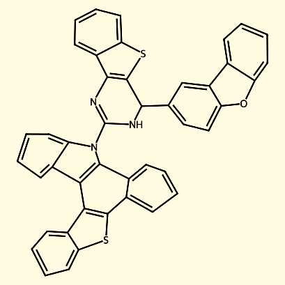 c1ccc2c(c1)oc1ccc(C3NC(n4c5ccccc5c5c6c7ccccc7sc6c6ccccc6c54)=Nc4c3sc3ccccc43)cc12